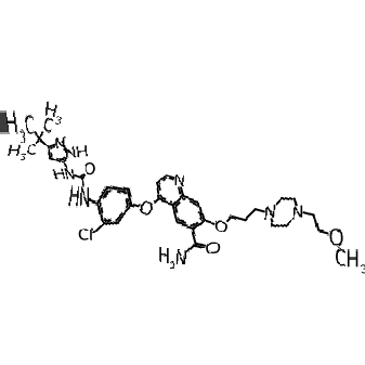 COCCN1CCN(CCCOc2cc3nccc(Oc4ccc(NC(=O)Nc5cc(C(C)(C)C)n[nH]5)c(Cl)c4)c3cc2C(N)=O)CC1